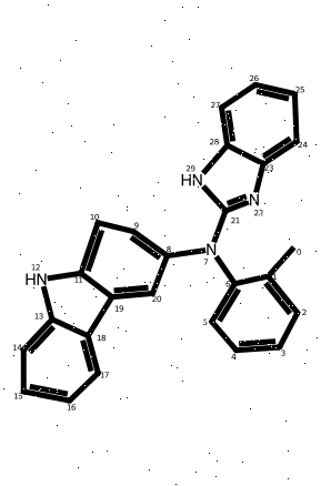 Cc1ccccc1N(c1ccc2[nH]c3ccccc3c2c1)c1nc2ccccc2[nH]1